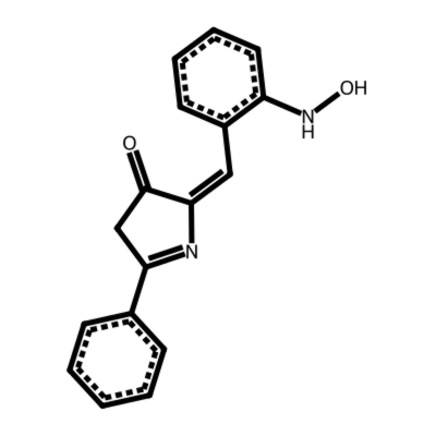 O=C1CC(c2ccccc2)=N/C1=C/c1ccccc1NO